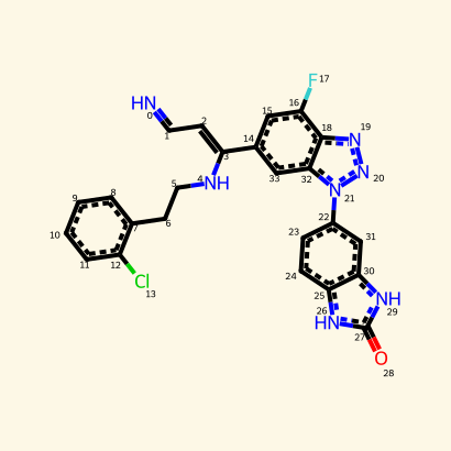 N=C/C=C(\NCCc1ccccc1Cl)c1cc(F)c2nnn(-c3ccc4[nH]c(=O)[nH]c4c3)c2c1